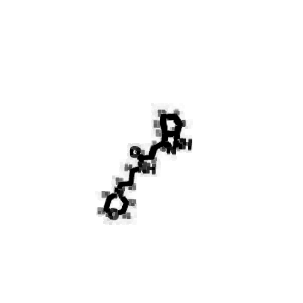 O=C(/C=C/c1n[nH]c2ccccc12)NCCCN1CCOCC1